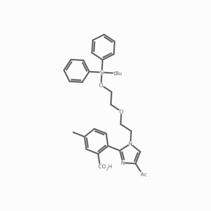 CC(=O)c1cn(CCOCCO[Si](c2ccccc2)(c2ccccc2)C(C)(C)C)c(-c2ccc(C)cc2C(=O)O)n1